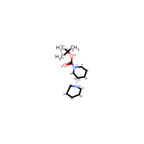 CC(C)(C)OC(=O)N1CCC[C@H](N2CCCCC2)C1